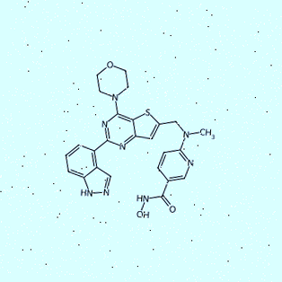 CN(Cc1cc2nc(-c3cccc4[nH]ncc34)nc(N3CCOCC3)c2s1)c1ccc(C(=O)NO)cn1